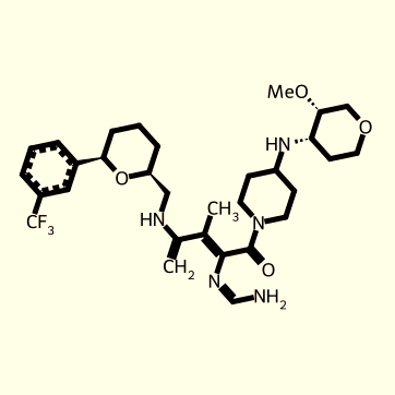 C=C(NC[C@@H]1CCC[C@H](c2cccc(C(F)(F)F)c2)O1)/C(C)=C(\N=C/N)C(=O)N1CCC(N[C@H]2CCOC[C@H]2OC)CC1